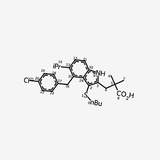 CCCCSc1c(CC(C)(C)C(=O)O)[nH]c2ccc(C(C)C)c(Cc3ccc(Cl)cc3)c12